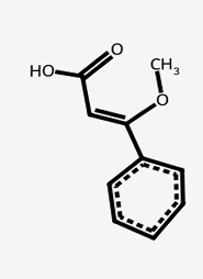 CO/C(=C\C(=O)O)c1ccccc1